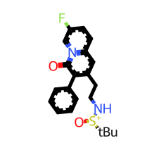 CC(C)(C)[S+]([O-])NCCc1cc2ccc(F)cn2c(=O)c1-c1ccccc1